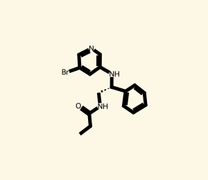 CCC(=O)NC[C@H](Nc1cncc(Br)c1)c1ccccc1